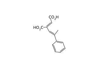 CC(=CC(=CC(=O)O)C(=O)O)c1ccccc1